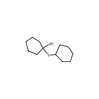 SC1(SC2CCCCC2)CCCCC1